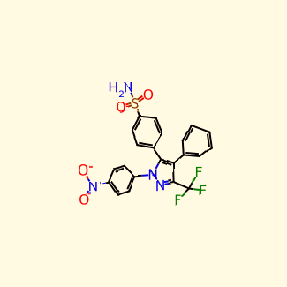 NS(=O)(=O)c1ccc(-c2c(-c3ccccc3)c(C(F)(F)F)nn2-c2ccc([N+](=O)[O-])cc2)cc1